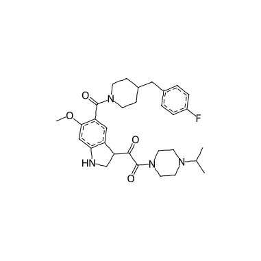 COc1cc2c(cc1C(=O)N1CCC(Cc3ccc(F)cc3)CC1)C(C(=O)C(=O)N1CCN(C(C)C)CC1)CN2